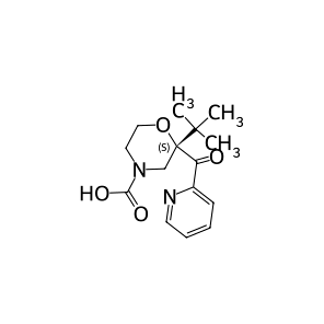 CC(C)(C)[C@@]1(C(=O)c2ccccn2)CN(C(=O)O)CCO1